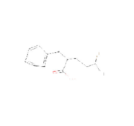 CC(S)CCC(Cc1ccccc1)C(=O)O